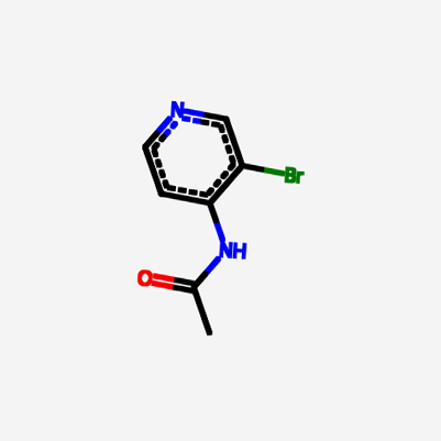 CC(=O)Nc1ccncc1Br